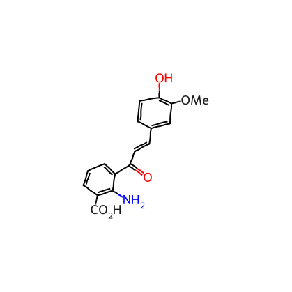 COc1cc(C=CC(=O)c2cccc(C(=O)O)c2N)ccc1O